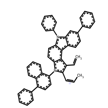 C=Cc1c(/C=C\C)n(-c2ccc(-c3ccccc3)c3ccccc23)c2ccc3c(c4ccc(-c5ccccc5)cc4n3-c3ccccc3)c12